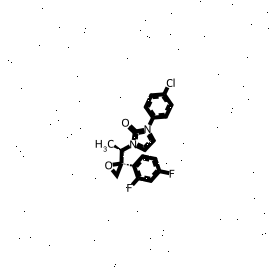 C[C@@H](n1ccn(-c2ccc(Cl)cc2)c1=O)[C@@]1(c2ccc(F)cc2F)CO1